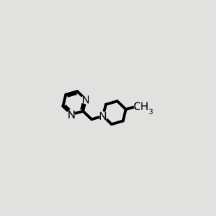 CC1CCN(Cc2ncccn2)CC1